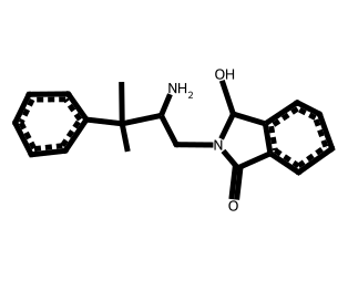 CC(C)(c1ccccc1)C(N)CN1C(=O)c2ccccc2C1O